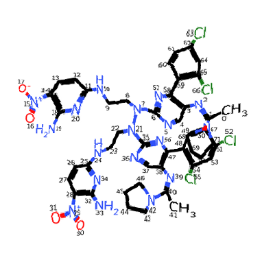 C/C(=N/c1cnc(N(CCNc2ccc([N+](=O)[O-])c(N)n2)N(CCNc2ccc([N+](=O)[O-])c(N)n2)c2ncc(/N=C(/C)N3CCCC3)c(-c3ccc(Cl)cc3Cl)n2)nc1-c1ccc(Cl)cc1Cl)N1CCCC1